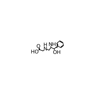 NC(CNCC(=O)O)C(O)c1ccccc1